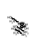 NCCCC(N)CCCO.NCCCC(N)CCCO.NCCCC(N)CCCO.O=C(O)c1cccc(C(=O)O)c1C(=O)O